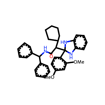 COc1ccc(C2(C(C(=O)NC(c3ccccc3)c3ccccc3)C3CCCCC3)Nc3ccccc3N2)c(OC)c1